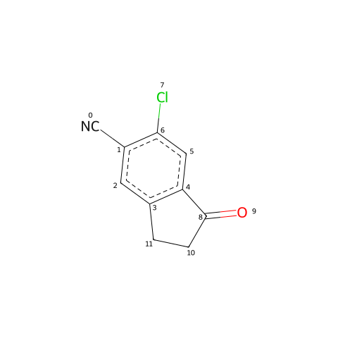 N#Cc1cc2c(cc1Cl)C(=O)CC2